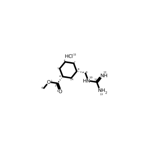 COC(=O)[C@@H]1CCC[C@H](CNC(=N)N)C1.Cl